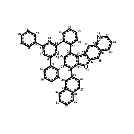 c1ccc(-c2nc(-c3ccccc3)nc(-c3ccccc3-c3ccc(-c4ccc5ccccc5c4)c4oc5cc6cccnc6cc5c34)n2)cc1